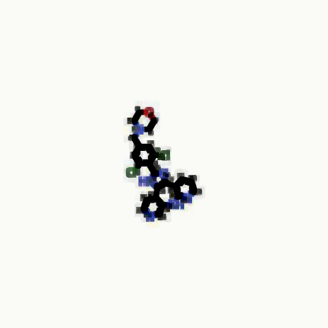 Clc1cc(CN2CCOCC2)cc(Cl)c1-c1nc2c([nH]1)-c1ccncc1Nc1ncccc1-2